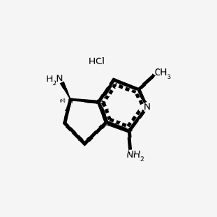 Cc1cc2c(c(N)n1)CC[C@H]2N.Cl